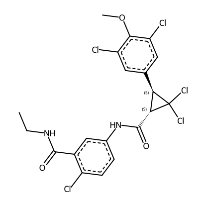 CCNC(=O)c1cc(NC(=O)[C@@H]2[C@@H](c3cc(Cl)c(OC)c(Cl)c3)C2(Cl)Cl)ccc1Cl